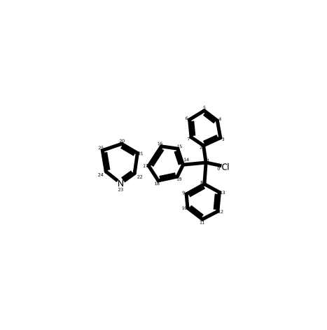 ClC(c1ccccc1)(c1ccccc1)c1ccccc1.c1ccncc1